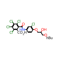 CCCCOCC(O)COc1ccc(NC(=O)c2c(Cl)c(Cl)c(Cl)c(Cl)c2C(=O)O)cc1Cl